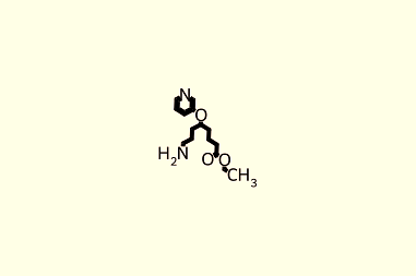 CCOC(=O)CCCC(CCCN)Oc1cccnc1